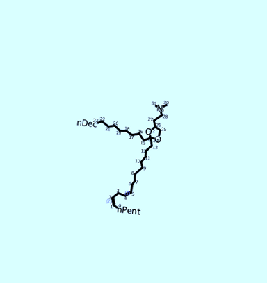 CCCCC/C=C\C/C=C\CCCCCCCCC1(CCCCCCCCCCCCCCCCCC)OCC(CCN(C)C)O1